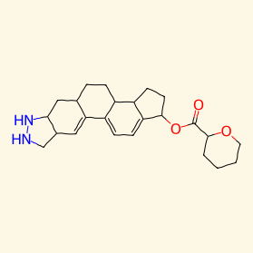 O=C(OC1CCC2C1=CC=C1C3=CC4CNNC4CC3CCC12)C1CCCCO1